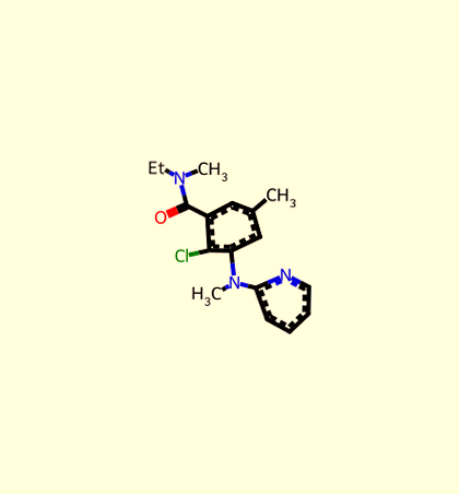 CCN(C)C(=O)c1cc(C)cc(N(C)c2ccccn2)c1Cl